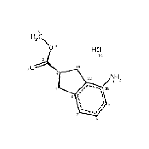 COC(=O)[C@@H]1Cc2cccc(N)c2C1.Cl